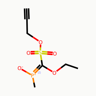 C#CCOS(=O)(=O)/C(OCC)=[P+](/C)[O-]